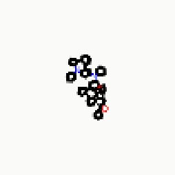 c1ccc(N(c2ccc3c(c2)-c2ccccc2-c2ccccc2N3c2ccccc2)c2ccc3c(c2)-c2ccccc2-c2ccccc2C32c3ccccc3-c3cc4oc5ccccc5c4cc32)cc1